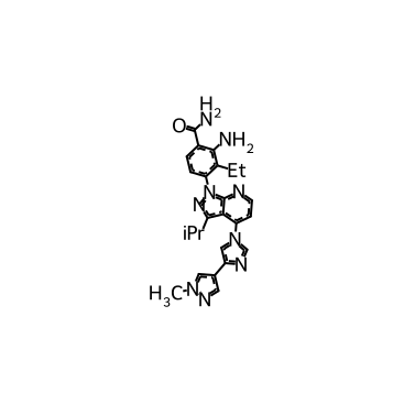 CCc1c(-n2nc(C(C)C)c3c(-n4cnc(-c5cnn(C)c5)c4)ccnc32)ccc(C(N)=O)c1N